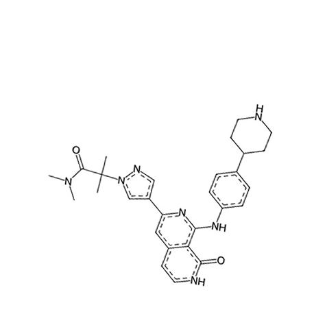 CN(C)C(=O)C(C)(C)n1cc(-c2cc3cc[nH]c(=O)c3c(Nc3ccc(C4CCNCC4)cc3)n2)cn1